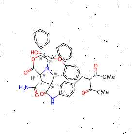 COC(=O)C(Cc1ccc2c(c1)[C@]1(C(=O)N2)[C@H](C(N)=O)[C@H]2C(=O)O[C@H](c3ccccc3)[C@H](c3ccccc3)N2[C@@H]1c1ccccc1OCCO)C(=O)OC